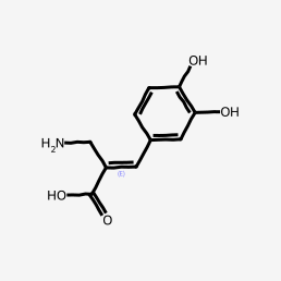 NC/C(=C\c1ccc(O)c(O)c1)C(=O)O